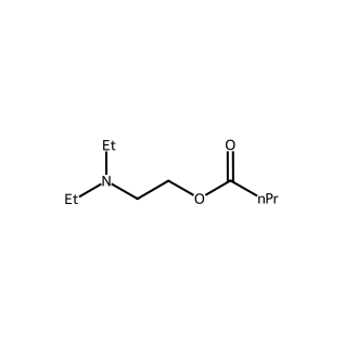 CCCC(=O)OCCN(CC)CC